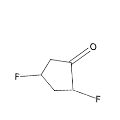 O=C1CC(F)CC1F